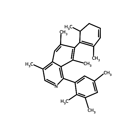 CC1=C(c2c(C)cc3c(C)cnc(-c4cc(C)cc(C)c4C)c3c2C)C(C)CC=C1